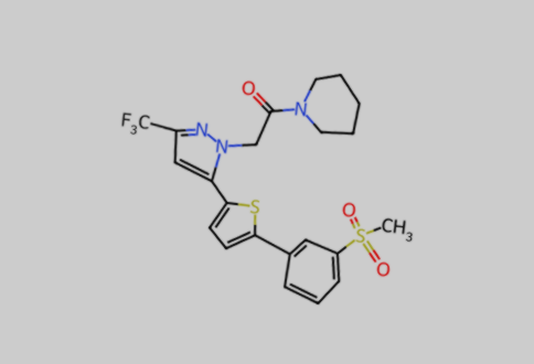 CS(=O)(=O)c1cccc(-c2ccc(-c3cc(C(F)(F)F)nn3CC(=O)N3CCCCC3)s2)c1